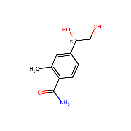 Cc1cc([C@H](O)CO)ccc1C(N)=O